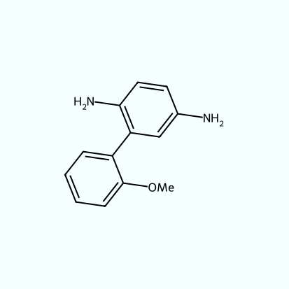 COc1ccccc1-c1cc(N)ccc1N